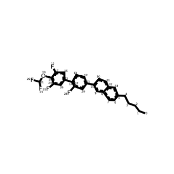 CCCCCc1ccc2cc(-c3ccc(-c4cc(F)c(OC(F)F)c(F)c4)c(F)c3)ccc2c1